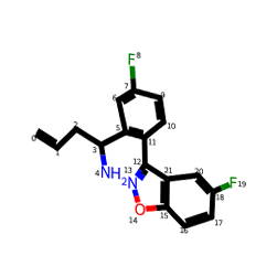 C=CCC(N)c1cc(F)ccc1-c1noc2ccc(F)cc12